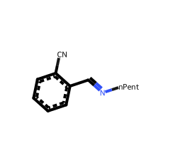 CCCCCN=Cc1ccccc1C#N